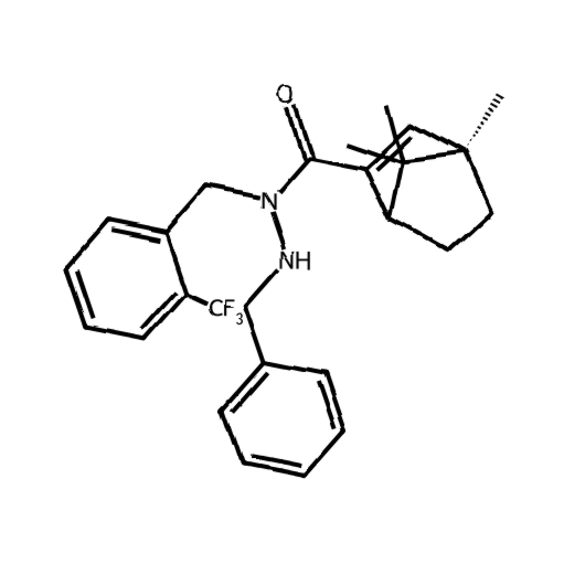 CC1(C)C2CC[C@]1(C)C=C2C(=O)N(Cc1ccccc1C(F)(F)F)NCc1ccccc1